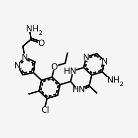 CCOc1c(C(C)Nc2ncnc(N)c2C(C)=N)cc(Cl)c(C)c1-c1cnn(CC(N)=O)c1